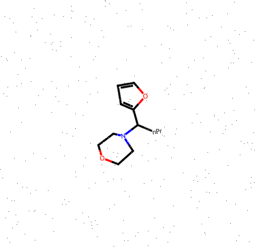 CCCC(c1ccco1)N1CCOCC1